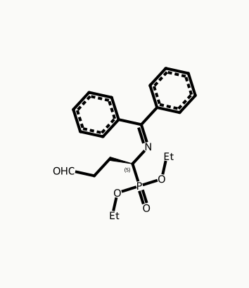 CCOP(=O)(OCC)[C@@H](CCC=O)N=C(c1ccccc1)c1ccccc1